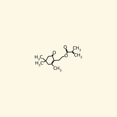 C=C(C)C(=O)OCCC1=C(C)CC(C)(C)CC1=O